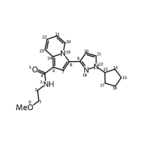 COCCNC(=O)c1cc(-c2ccn(C3CCCC3)n2)n2ccccc12